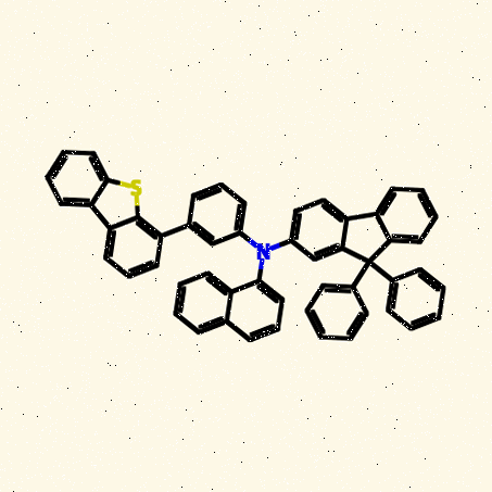 c1ccc(C2(c3ccccc3)c3ccccc3-c3ccc(N(c4cccc(-c5cccc6c5sc5ccccc56)c4)c4cccc5ccccc45)cc32)cc1